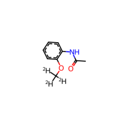 [2H]C([2H])([2H])Oc1ccccc1NC(C)=O